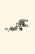 CNC(=O)c1nnc(Cl)cc1Nc1cc(C(C)OCc2nc(OC(N)=O)ccc2F)cc(-c2ccn(C)n2)c1OC